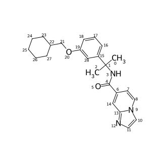 CC(C)(NC(=O)c1ccn2ccnc2c1)c1cccc(OCC2CCCCC2)c1